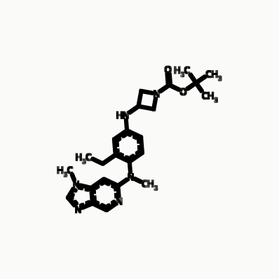 CCc1cc(NC2CN(C(=O)OC(C)(C)C)C2)ccc1N(C)c1cc2c(cn1)ncn2C